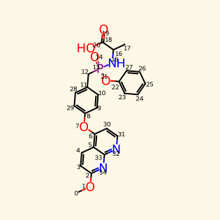 COc1ccc2c(Oc3ccc(CP(=O)(NC(C)C(=O)O)Oc4ccccc4)cc3)ccnc2n1